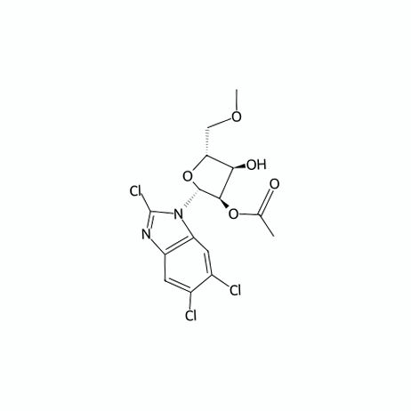 COC[C@H]1O[C@@H](n2c(Cl)nc3cc(Cl)c(Cl)cc32)[C@H](OC(C)=O)[C@@H]1O